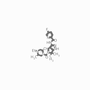 CCN1C[C@H](C)N(C(=O)N2Cc3c(NC(=O)c4ccc(F)cn4)n[nH]c3C2(C)C)CC1C